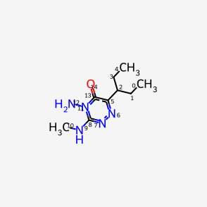 CCC(CC)c1nnc(NC)n(N)c1=O